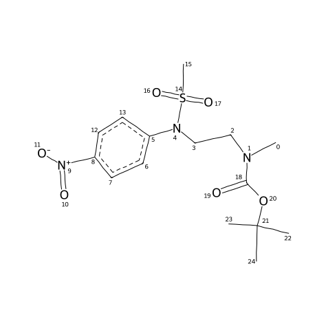 CN(CCN(c1ccc([N+](=O)[O-])cc1)S(C)(=O)=O)C(=O)OC(C)(C)C